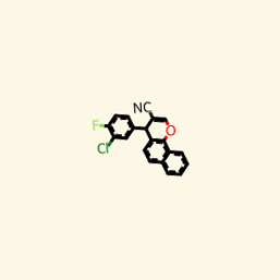 N#CC1=COc2c(ccc3ccccc23)C1c1ccc(F)c(Cl)c1